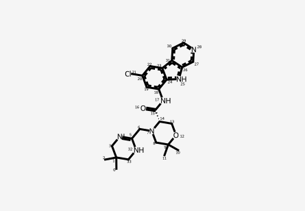 CC1(C)CN=C(CN2CC(C)(C)OC[C@H]2C(=O)Nc2cc(Cl)cc3c2[nH]c2cnccc23)NC1